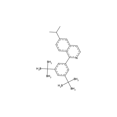 BC(B)(B)c1cc(-c2nccc3cc(C(C)C)ccc23)cc(C(B)(B)B)c1